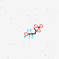 O=C1OCC(CC(F)(F)C(F)(F)OF)O1